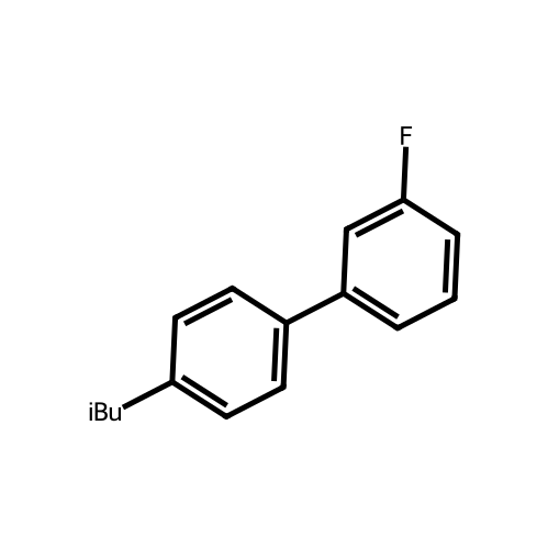 CCC(C)c1ccc(-c2cccc(F)c2)cc1